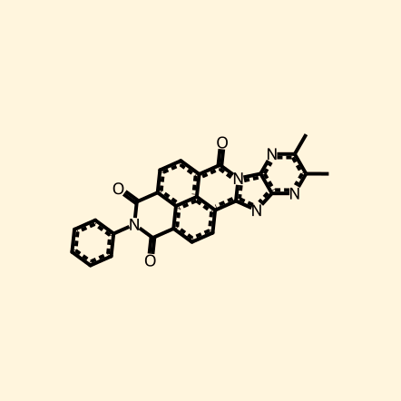 Cc1nc2nc3c4ccc5c6c(ccc(c(=O)n3c2nc1C)c64)C(=O)N(c1ccccc1)C5=O